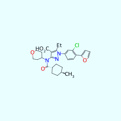 CCc1c(C(=O)O)c(N(C(=O)[C@H]2CC[C@H](C)CC2)C2CCOCC2)nn1-c1ccc(-c2ccco2)c(Cl)c1